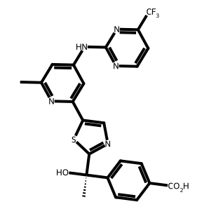 Cc1cc(Nc2nccc(C(F)(F)F)n2)cc(-c2cnc([C@](C)(O)c3ccc(C(=O)O)cc3)s2)n1